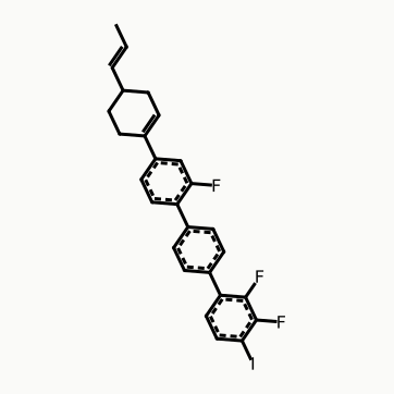 C/C=C/C1CC=C(c2ccc(-c3ccc(-c4ccc(I)c(F)c4F)cc3)c(F)c2)CC1